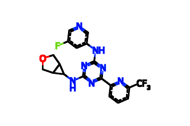 Fc1cncc(Nc2nc(NC3C4COCC43)nc(-c3cccc(C(F)(F)F)n3)n2)c1